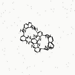 c1cc2nc3c4nc5cccc6c7cc8ccc9ccc%10cc([nH]c%10c9c8[nH]7)c7ccc8c9cc%10ccc%11ccc%12cc([nH]c%12c%11c%10[nH]9)c(c1)c2nc3c1nc8c7nc1c4nc56